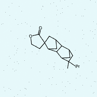 CC(C)C1(C)CC2CC1C1C2C2CC1C1(CCOC1=O)C2